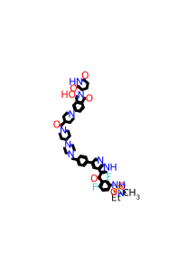 CCN(C)S(=O)(=O)Nc1ccc(F)c(C(=O)c2c[nH]c3ncc(-c4ccc(CN5CCN(C6CCN(C(=O)C7CCN(c8ccc9c(c8)C(O)N(C8CCC(=O)NC8=O)C9=O)CC7)CC6)CC5)cc4)cc23)c1F